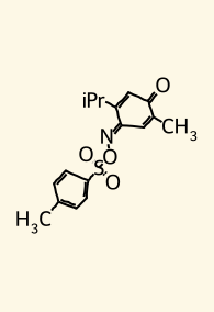 CC1=C/C(=N\OS(=O)(=O)c2ccc(C)cc2)C(C(C)C)=CC1=O